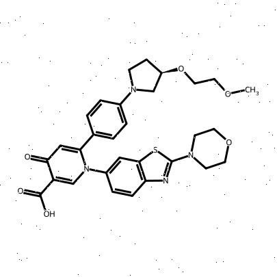 COCCO[C@@H]1CCN(c2ccc(-c3cc(=O)c(C(=O)O)cn3-c3ccc4nc(N5CCOCC5)sc4c3)cc2)C1